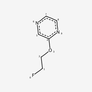 FCCOc1cnccn1